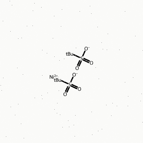 CC(C)(C)S(=O)(=O)[O-].CC(C)(C)S(=O)(=O)[O-].[Ni+2]